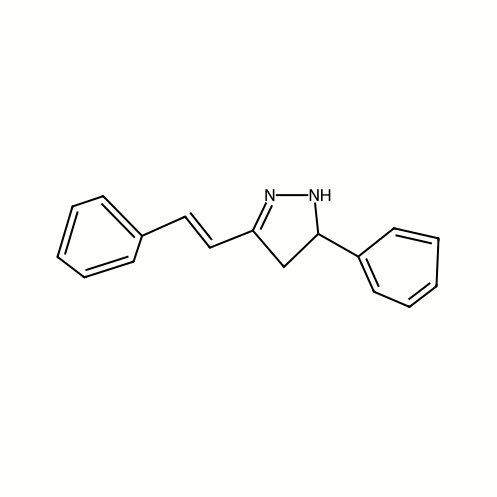 C(=Cc1ccccc1)C1=NNC(c2ccccc2)C1